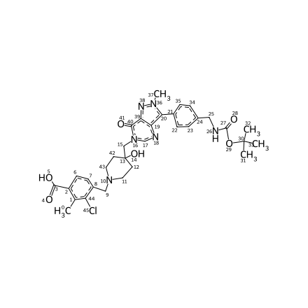 Cc1c(C(=O)O)ccc(CN2CCC(O)(Cn3cnc4c(-c5ccc(CNC(=O)OC(C)(C)C)cc5)n(C)nc4c3=O)CC2)c1Cl